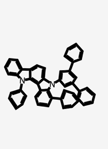 c1ccc(-c2cc(-c3ccccc3)cc(-n3c4ccc5c6ccccc6n(-c6ccccc6)c5c4c4cccc(-c5ccccc5)c43)c2)cc1